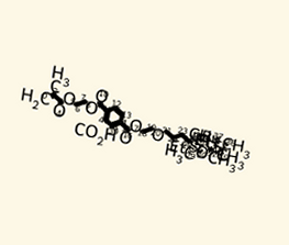 C=C(C)C(=O)OCCOC(=O)c1ccc(C(=O)OCCOCCCC(C)(CC)[Si](C)(C)OC(C)(CC)[Si](C)(C)CCCC)c(C(=O)O)c1